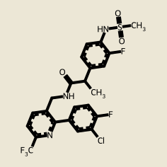 CC(C(=O)NCc1ccc(C(F)(F)F)nc1-c1ccc(F)c(Cl)c1)c1ccc(NS(C)(=O)=O)c(F)c1